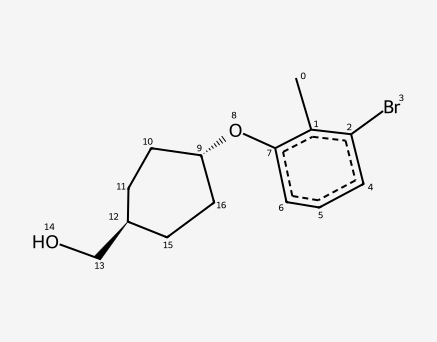 Cc1c(Br)cccc1O[C@H]1CC[C@H](CO)CC1